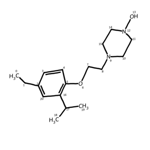 CCc1ccc(OCCN2CCN(O)CC2)c(C(C)C)c1